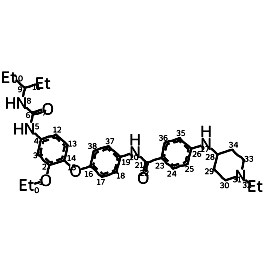 CCOc1cc(NC(=O)NC(CC)CC)ccc1Oc1ccc(NC(=O)c2ccc(NC3CCN(CC)CC3)cc2)cc1